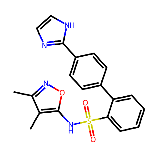 Cc1noc(NS(=O)(=O)c2ccccc2-c2ccc(-c3ncc[nH]3)cc2)c1C